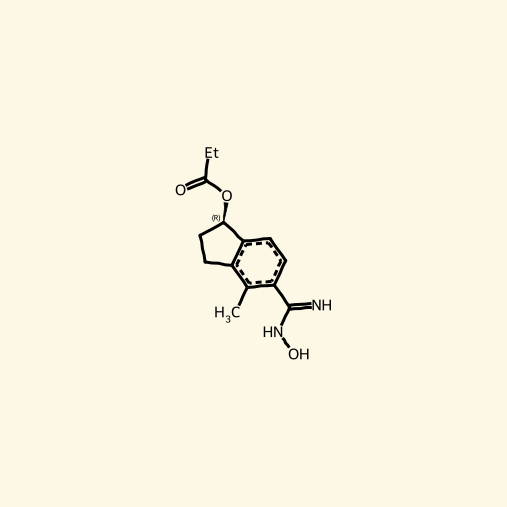 CCC(=O)O[C@@H]1CCc2c1ccc(C(=N)NO)c2C